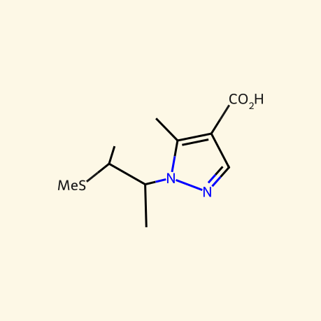 CSC(C)C(C)n1ncc(C(=O)O)c1C